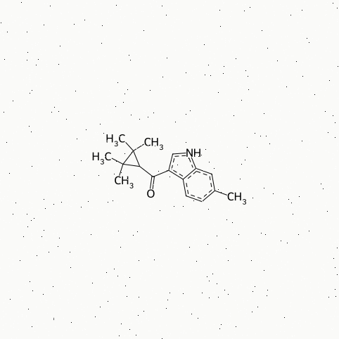 Cc1ccc2c(C(=O)C3C(C)(C)C3(C)C)c[nH]c2c1